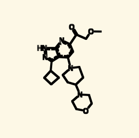 COCC(=O)c1cc(N2CCC(N3CCOCC3)CC2)c2c(C3CCC3)n[nH]c2n1